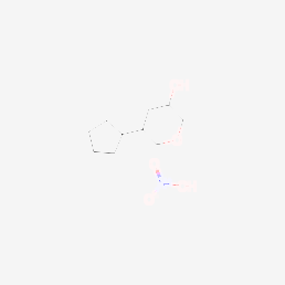 O=[N+]([O-])O.OC1COCC(C2CCCC2)C1